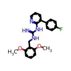 COc1cccc(OC)c1CNC(=N)Nc1ncccc1-c1ccc(F)cc1